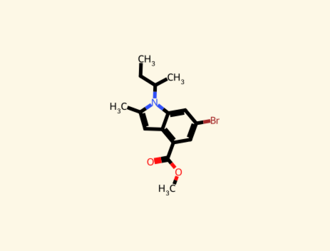 CCC(C)n1c(C)cc2c(C(=O)OC)cc(Br)cc21